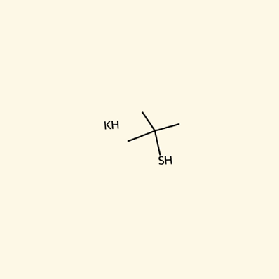 CC(C)(C)S.[KH]